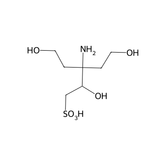 NC(CCO)(CCO)C(O)CS(=O)(=O)O